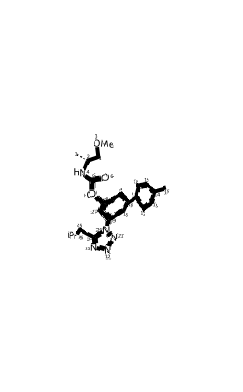 COC[C@@H](C)NC(=O)Oc1cc(-c2ccc(C)cc2)cc(-n2nnnc2CC(C)C)c1